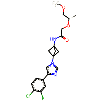 C[C@@H](COC(F)(F)F)OCC(=O)NC12CC(n3cnc(-c4ccc(Cl)c(F)c4)c3)(C1)C2